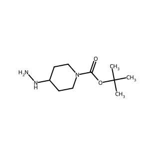 CC(C)(C)OC(=O)N1CCC(NN)CC1